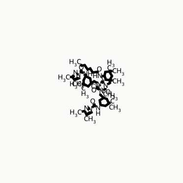 CCCCCCC(=O)NC1CC(C)(C)CC(C)(Cn2c(=O)n(CC3(C)CC(NC(=O)n4cc(C)c(C)n4)CC(C)(C)C3)c(=O)n(CC3(C)CC(NC(=O)n4cc(C)c(C)n4)CC(C)(C)C3)c2=O)C1